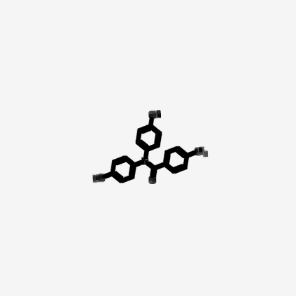 O=C(c1ccc(C(F)(F)F)cc1)N(c1ccc(O)cc1)c1ccc(O)cc1